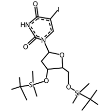 CC(C)(C)[Si](C)(C)OCC1OC(n2cc(I)c(=O)[nH]c2=O)CC1O[Si](C)(C)C(C)(C)C